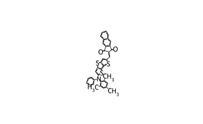 Cc1cc(C)c(N(c2ccccc2)c2cc3sc4cc(C=C5C(=O)c6cc7ccccc7cc6C5=O)sc4c3s2)c(C)c1